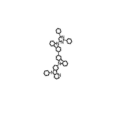 c1ccc(-c2cc(-n3c4ccccc4c4cc(-c5ccc6c(c5)c5ccccc5n6-c5ccc6c(c5)c5ncccc5n6-c5ccccc5)ccc43)nc(-c3ccccc3)n2)cc1